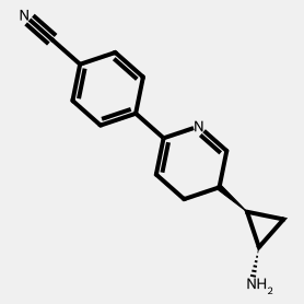 N#Cc1ccc(C2=CCC([C@H]3C[C@@H]3N)C=N2)cc1